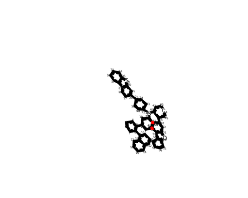 c1cc(-c2ccccc2-c2cccc3ccccc23)cc(N(c2ccc(-c3ccc4c(c3)sc3ccccc34)cc2)c2ccccc2-c2ccc3c(c2)oc2ccccc23)c1